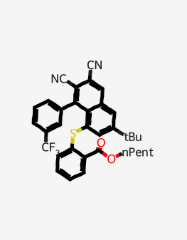 CCCCCOC(=O)c1ccccc1Sc1cc(C(C)(C)C)cc2cc(C#N)c(C#N)c(-c3cccc(C(F)(F)F)c3)c12